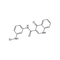 CCNc1cccc(NC(=O)c2c[nH]c3ccccc3c2=O)c1